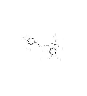 CCC(CCCN(C)CCc1ccc(OC)c(OC)c1)(c1ccc(OC)c(OC)c1)[C@@H](O)OC